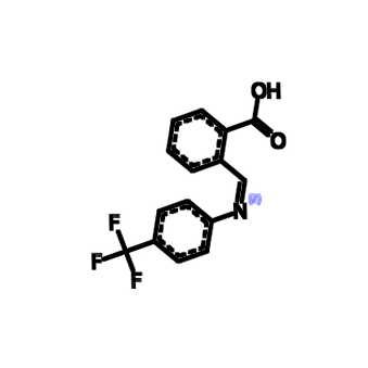 O=C(O)c1ccccc1/C=N\c1ccc(C(F)(F)F)cc1